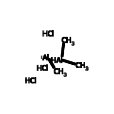 Cl.Cl.Cl.[CH3][AlH][CH3].[CH3][Al]